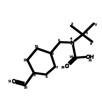 CC(C)(C)N(CC1CCC(C=O)CC1)C(=O)O